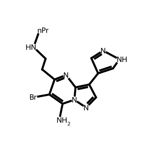 CCCNCCc1nc2c(-c3cn[nH]c3)cnn2c(N)c1Br